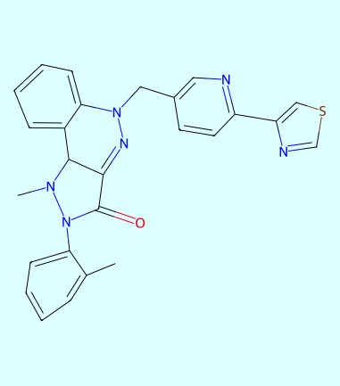 Cc1ccccc1N1C(=O)C2=NN(Cc3ccc(-c4cscn4)nc3)c3ccccc3C2N1C